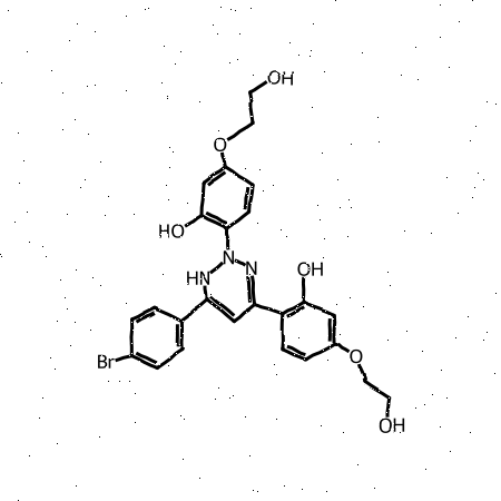 OCCOc1ccc(C2=NN(c3ccc(OCCO)cc3O)NC(c3ccc(Br)cc3)=C2)c(O)c1